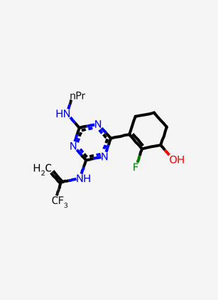 C=C(Nc1nc(NCCC)nc(C2=C(F)C(O)CCC2)n1)C(F)(F)F